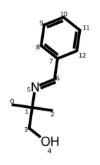 CC(C)(CO)N=Cc1ccccc1